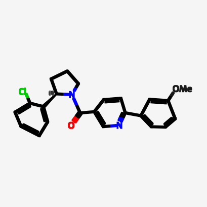 COc1cccc(-c2ccc(C(=O)N3CCC[C@@H]3c3ccccc3Cl)cn2)c1